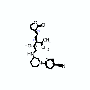 C=C(C)/C(=C\C=C1/CCOC1=O)[C@@H](O)CNC1CCCN(c2ccc(C#N)cn2)C1